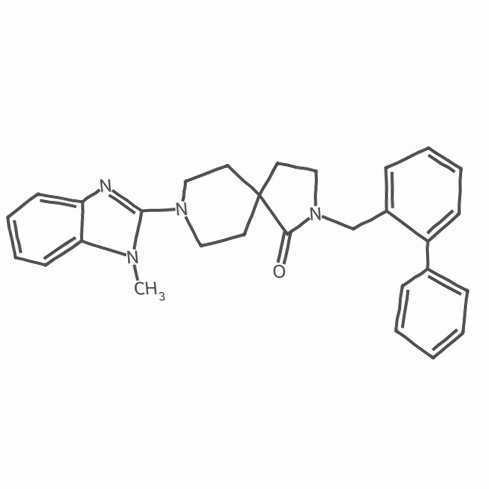 Cn1c(N2CCC3(CCN(Cc4ccccc4-c4ccccc4)C3=O)CC2)nc2ccccc21